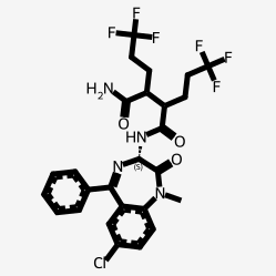 CN1C(=O)[C@@H](NC(=O)C(CCC(F)(F)F)C(CCC(F)(F)F)C(N)=O)N=C(c2ccccc2)c2cc(Cl)ccc21